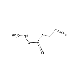 C=CCOC(=O)ONC(=O)O